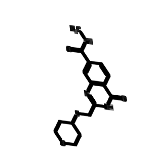 CNC(=O)c1ccc2c(=O)[nH]c(CSC3CCOCC3)nc2c1